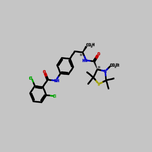 CCOC(=O)N1[C@@H](C(=O)N[C@@H](Cc2ccc(NC(=O)c3c(Cl)cccc3Cl)cc2)C(=O)O)C(C)(C)SC1(C)C